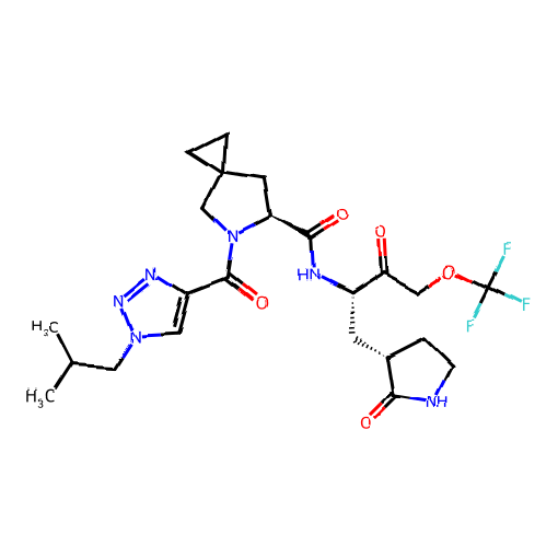 CC(C)Cn1cc(C(=O)N2CC3(CC3)C[C@H]2C(=O)N[C@@H](C[C@@H]2CCNC2=O)C(=O)COC(F)(F)F)nn1